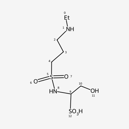 CCNCCCS(=O)(=O)NC(CO)S(=O)(=O)O